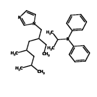 CC(C)B(c1ccccc1)c1ccccc1.CCC(CC(C)CC(C)C)Cn1ccnc1